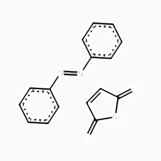 O=C1C=CC(=O)N1.c1ccc(/N=N/c2ccccc2)cc1